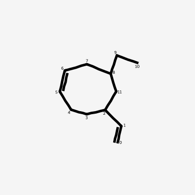 C=CC1CCC=CCC(CC)C1